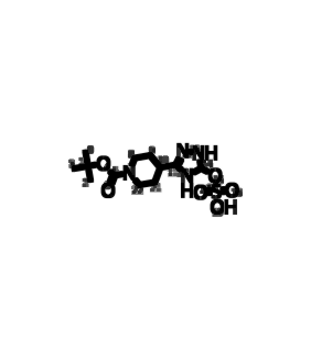 CC(C)(C)OC(=O)N1CCC(C2=NNC(OS(=O)(=O)O)N2)CC1